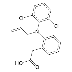 C=CCN(c1ccccc1CC(=O)O)c1c(Cl)cccc1Cl